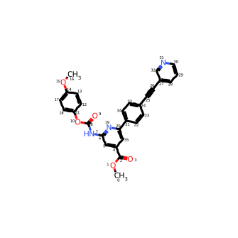 COC(=O)c1cc(NC(=O)Oc2ccc(OC)cc2)nc(-c2ccc(C#Cc3cccnc3)cc2)c1